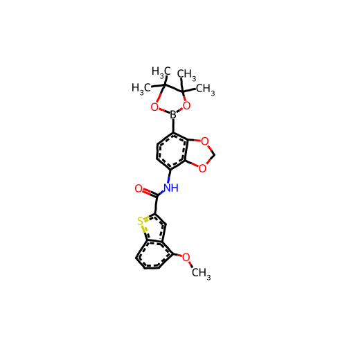 COc1cccc2sc(C(=O)Nc3ccc(B4OC(C)(C)C(C)(C)O4)c4c3OCO4)cc12